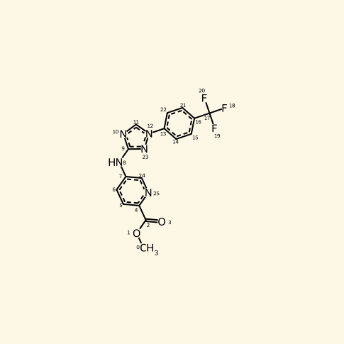 COC(=O)c1ccc(Nc2ncn(-c3ccc(C(F)(F)F)cc3)n2)cn1